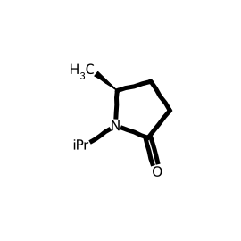 CC(C)N1C(=O)CC[C@@H]1C